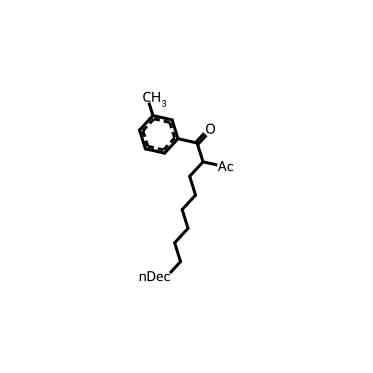 CCCCCCCCCCCCCCCCC(C(C)=O)C(=O)c1cccc(C)c1